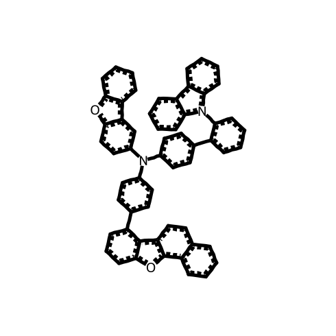 c1ccc(-n2c3ccccc3c3ccccc32)c(-c2ccc(N(c3ccc(-c4cccc5oc6c7ccccc7ccc6c45)cc3)c3ccc4oc5ccccc5c4c3)cc2)c1